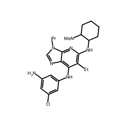 CCc1c(NC2CCCCC2NC)nc2c(ncn2C(C)C)c1Nc1cc(N)cc(Cl)c1